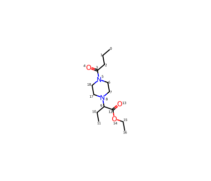 CCCC(=O)N1CCN(C(CC)C(=O)OCC)CC1